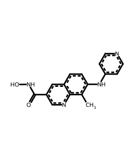 Cc1c(Nc2ccncc2)ccc2cc(C(=O)NO)cnc12